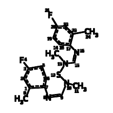 Cc1cc(F)ccc1/N=C\N(C)SN(C)/C=N\c1ccc(F)cc1C